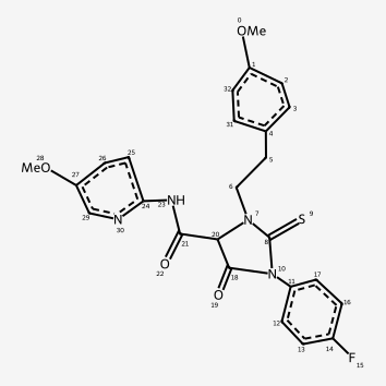 COc1ccc(CCN2C(=S)N(c3ccc(F)cc3)C(=O)C2C(=O)Nc2ccc(OC)cn2)cc1